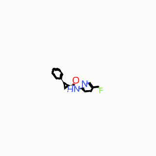 O=C(Nc1ccc(CF)cn1)[C@@H]1C[C@H]1c1ccccc1